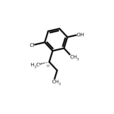 CC[C@H](C)c1c(Cl)ccc(O)c1C